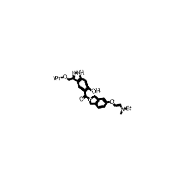 CCN(C)CCOc1ccc2c(c1)CN(C(=O)c1cc3c(COC(C)C)n[nH]c3cc1O)C2